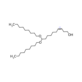 CCCCCCCCCOC(CCCCC/C=C\CCO)OCCCCCCCCC